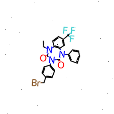 CCN1C(=O)N(c2ccc(CBr)cc2)C(=O)N(c2ccccc2)c2cc(C(F)(F)F)ccc21